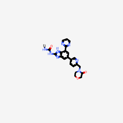 CCNC(=O)Nc1nc2cc(-c3ccc(CN4CCOCC4=O)nc3)cc(-c3ncccn3)c2[nH]1